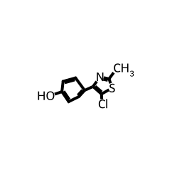 Cc1nc(-c2ccc(O)cc2)c(Cl)s1